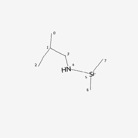 CC(C)CN[Si](C)C